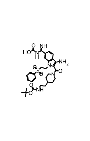 CC(C)(C)OC(=O)NCCC1CCN(C(=O)c2c(N)c3ccc(C(=N)NC(=O)O)cc3n2CCS(=O)(=O)c2ccccc2)CC1